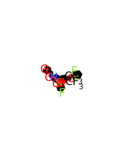 O=C(CC1CCOCC1)N1CCC(c2ccc(C(OCc3c(F)cccc3F)(C(F)(F)F)C(F)(F)F)cc2)(S(=O)(=O)c2ccc(F)cc2)CC1